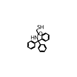 O=C(CS)NC(c1ccccc1)(c1ccccc1)c1ccccc1